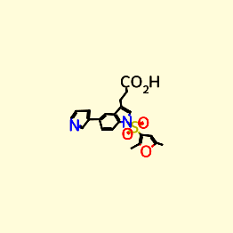 Cc1cc(S(=O)(=O)n2cc(CCC(=O)O)c3cc(-c4cccnc4)ccc32)c(C)o1